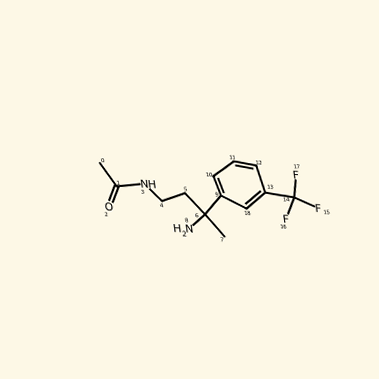 CC(=O)NCCC(C)(N)c1cccc(C(F)(F)F)c1